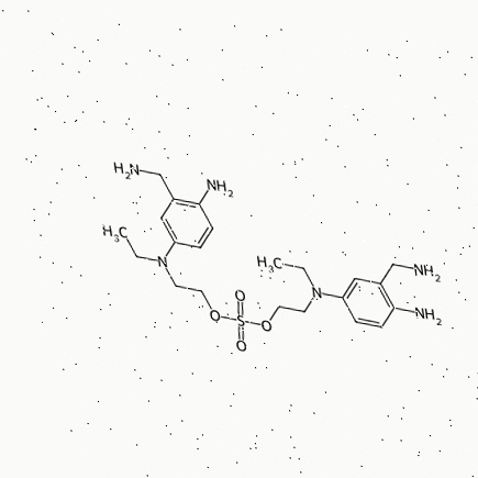 CCN(CCOS(=O)(=O)OCCN(CC)c1ccc(N)c(CN)c1)c1ccc(N)c(CN)c1